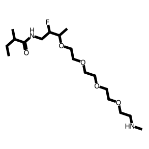 CCC(C)C(=O)NCC(F)C(C)OCCOCCOCCOCCNC